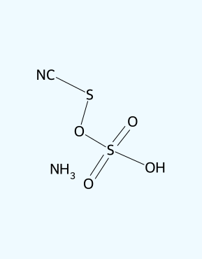 N.N#CSOS(=O)(=O)O